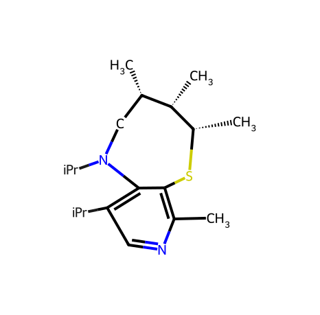 Cc1ncc(C(C)C)c2c1S[C@@H](C)[C@@H](C)[C@@H](C)CN2C(C)C